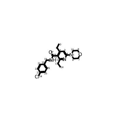 CCc1cc(N2CCOCC2)nc(CC)c1C(=O)NCc1ccc(Cl)cc1